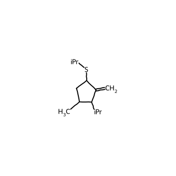 C=C1C(SC(C)C)CC(C)C1C(C)C